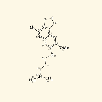 COc1cc2c3c(c(Cl)nc2cc1OCCCN(C)C)CCC3